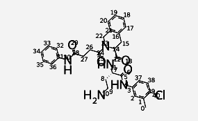 Cc1cc(NC(=O)[C@H](CCN)NC(=O)[C@@H]2Cc3ccccc3CN2C(=O)CCC(=O)Nc2ccccc2)ccc1Cl